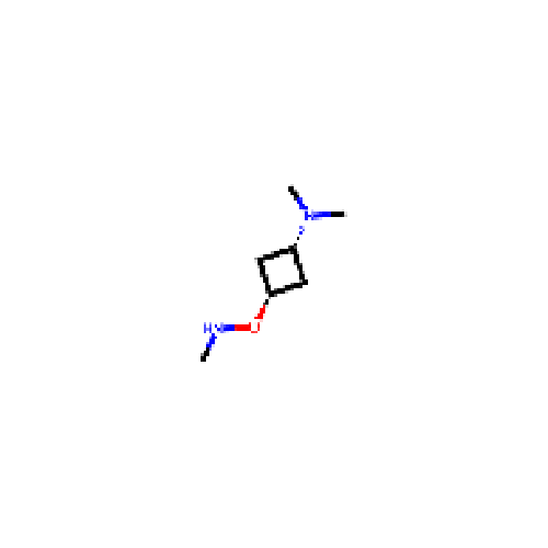 CNO[C@H]1C[C@H](N(C)C)C1